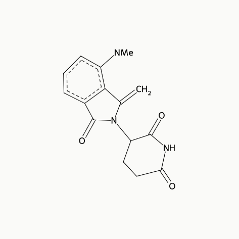 C=C1c2c(NC)cccc2C(=O)N1C1CCC(=O)NC1=O